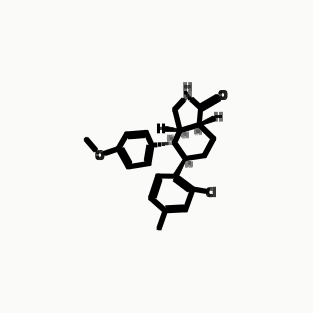 COc1ccc([C@@H]2[C@@H]3CNC(=O)[C@@H]3CC[C@H]2c2ccc(C)cc2Cl)cc1